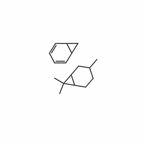 C1=CC2CC2C=C1.CC1CCC2C(C1)C2(C)C